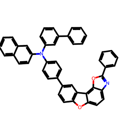 c1ccc(-c2cccc(N(c3ccc(-c4ccc5oc6ccc7nc(-c8ccccc8)oc7c6c5c4)cc3)c3ccc4ccccc4c3)c2)cc1